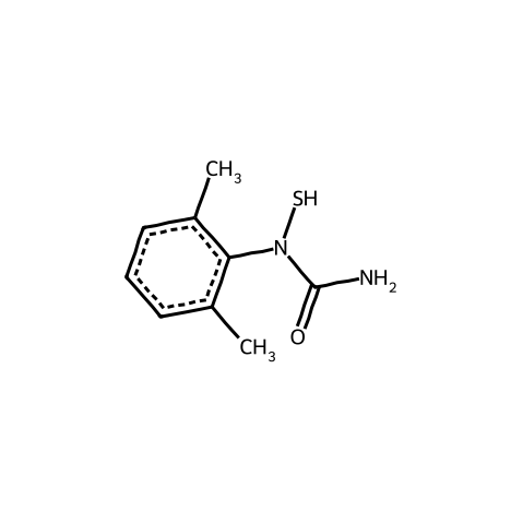 Cc1cccc(C)c1N(S)C(N)=O